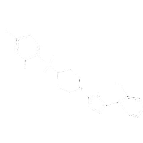 Cc1ccccc1-c1csc(N2CCC(S(=O)(=O)c3ccc(Cl)cc3Cl)CC2)n1